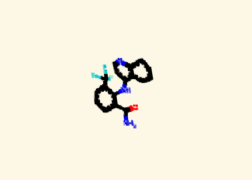 NC(=O)c1cccc(C(F)(F)F)c1Nc1ccnc2ccccc12